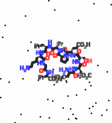 CC(C)C[C@H](NC(=O)[C@@H](NC(=O)[C@@H]1CCCN1C(=O)[C@H](CCC(=O)O)NC(=O)[C@H](CO)NC(=O)[C@H](CC(=O)O)NC(=O)[C@@H](N)CC(=O)O)C(C)C)C(=O)N[C@@H](CCCCN)C(=O)NCC(=O)N[C@H](C(=O)O)C(C)C